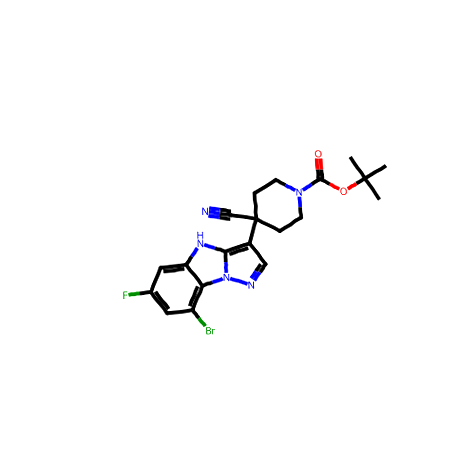 CC(C)(C)OC(=O)N1CCC(C#N)(c2cnn3c2[nH]c2cc(F)cc(Br)c23)CC1